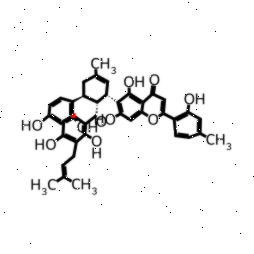 CC(C)=CCc1c(O)ccc(C(=O)[C@H]2[C@@H](c3c(O)cc4oc(-c5ccc(C)cc5O)cc(=O)c4c3O)C=C(C)C[C@@H]2c2ccc(O)cc2O)c1O